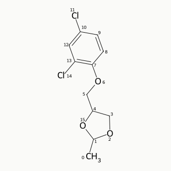 CC1OCC(COc2ccc(Cl)cc2Cl)O1